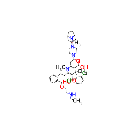 CCNCCOCc1ccccc1CCC1=C(C(=O)O)C(C)(c2c(Cl)cccc2Cl)C(C(=O)O)=C(CC(=O)N2CCN(C3CC4CCC(C3)N4C)CC2)N1C